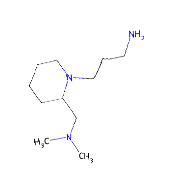 CN(C)CC1CCCCN1CCCN